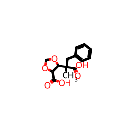 CC(Cc1ccccc1)(C(=O)O)C1OCOC1C(=O)O